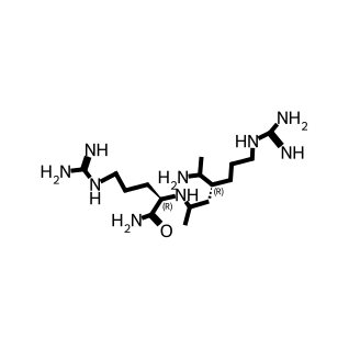 CC(C[C@@H](CCCNC(=N)N)C(C)N)N[C@H](CCCNC(=N)N)C(N)=O